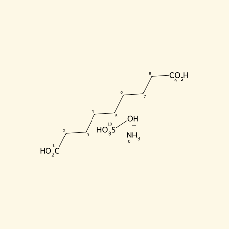 N.O=C(O)CCCCCCCC(=O)O.O=S(=O)(O)O